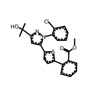 COC(=O)c1ccccc1-c1ccc(-c2cc(C(C)(C)O)nn2-c2ccccc2Cl)s1